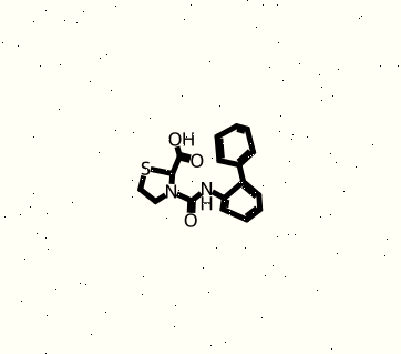 O=C(O)C1SCCN1C(=O)Nc1ccccc1-c1ccccc1